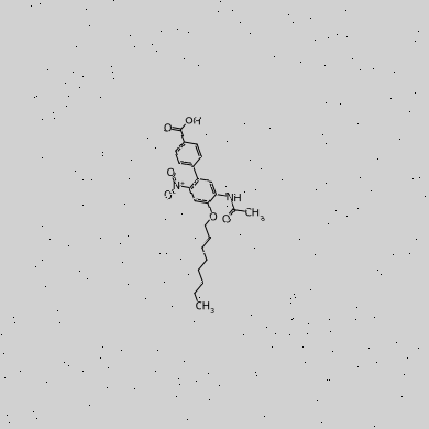 CCCCCCCCOc1cc([N+](=O)[O-])c(-c2ccc(C(=O)O)cc2)cc1NC(C)=O